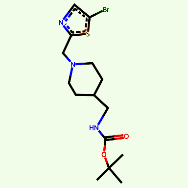 CC(C)(C)OC(=O)NCC1CCN(Cc2ncc(Br)s2)CC1